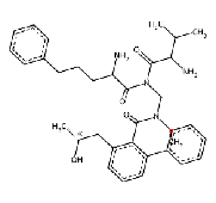 CCN(CN(C(=O)C(N)CCCc1ccccc1)C(=O)C(N)C(C)C)C(=O)c1c(C[C@@H](C)O)cccc1-c1ccccc1